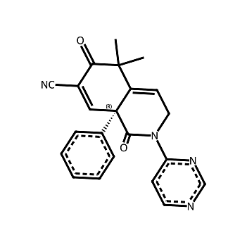 CC1(C)C(=O)C(C#N)=C[C@]2(c3ccccc3)C(=O)N(c3ccncn3)CC=C12